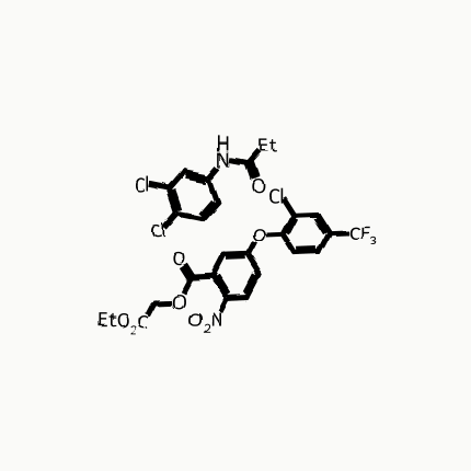 CCC(=O)Nc1ccc(Cl)c(Cl)c1.CCOC(=O)COC(=O)c1cc(Oc2ccc(C(F)(F)F)cc2Cl)ccc1[N+](=O)[O-]